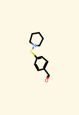 O=Cc1ccc(SN2CCCCC2)cc1